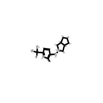 Cc1nc(C(F)(F)F)ccc1SN1CC2CCCC2C1